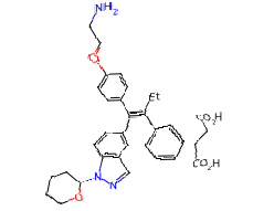 CCC(=C(c1ccc(OCCN)cc1)c1ccc2c(cnn2C2CCCCO2)c1)c1ccccc1.O=C(O)CCC(=O)O